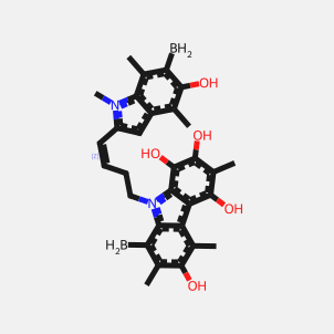 Bc1c(O)c(C)c2cc(/C=C\CCn3c4c(B)c(C)c(O)c(C)c4c4c(O)c(C)c(O)c(O)c43)n(C)c2c1C